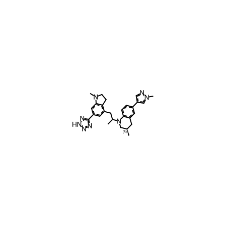 CC(Cc1cc(-c2nn[nH]n2)cc2c1CCN2C)N1C[C@H](C)Cc2cc(-c3cnn(C)c3)ccc21